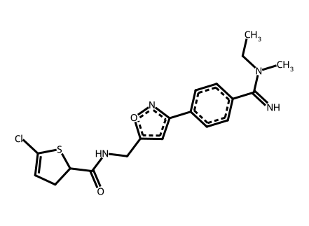 CCN(C)C(=N)c1ccc(-c2cc(CNC(=O)C3CC=C(Cl)S3)on2)cc1